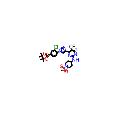 CC1(C)OB(c2ccc(-n3cnc(-c4nc(NC5CCN(S(C)(=O)=O)CC5)ncc4C(F)(F)F)c3)c(Cl)c2)OC1(C)C